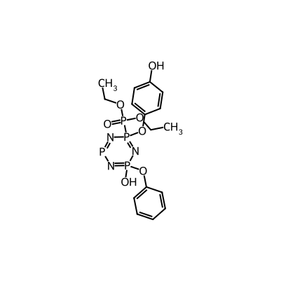 CCOP(=O)(OCC)P1(Oc2ccc(O)cc2)=NP(O)(Oc2ccccc2)=NP=N1